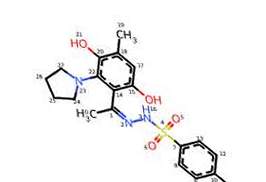 CC(=NNS(=O)(=O)c1ccc(C)cc1)c1c(O)cc(C)c(O)c1N1CCCC1